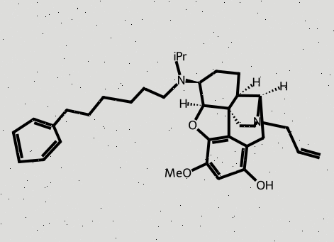 C=CCN1CC[C@]23c4c5c(O)cc(OC)c4O[C@H]2[C@@H](N(CCCCCCc2ccccc2)C(C)C)CC[C@H]3[C@H]1C5